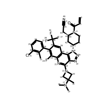 C=CC(=O)N1CC[C@H](n2nnc3c(N4CC(C)(N(C)C)C4)nc4c(F)c(-c5cccc(Cl)c5C)c(C(F)(F)F)cc4c32)C[C@H]1CC#N